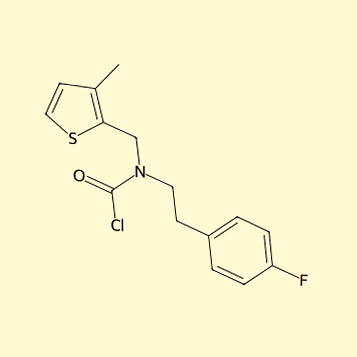 Cc1ccsc1CN(CCc1ccc(F)cc1)C(=O)Cl